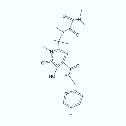 CN(C)C(=O)C(=O)N(C)C(C)(C)c1nc(C(=O)NCc2ccc(F)cc2)c(O)c(=O)n1C